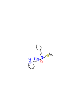 CC(=O)SCCN(CCC1CCCCC1)C(=O)NCCC1CCCCCN1